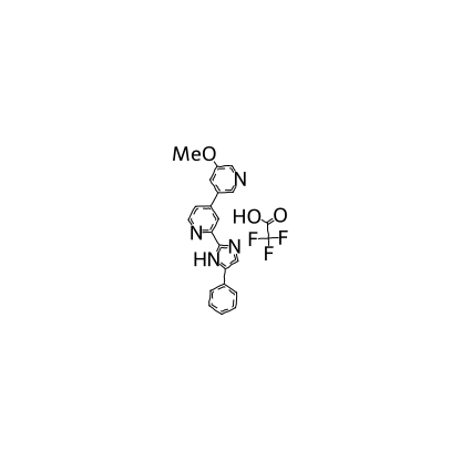 COc1cncc(-c2ccnc(-c3ncc(-c4ccccc4)[nH]3)c2)c1.O=C(O)C(F)(F)F